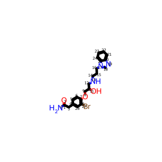 NC(=O)Cc1ccc(OCC(O)CNCCCn2cnc3ccccc32)c(Br)c1